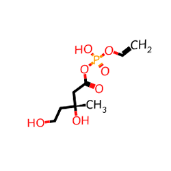 C=COP(=O)(O)OC(=O)C[C@](C)(O)CCO